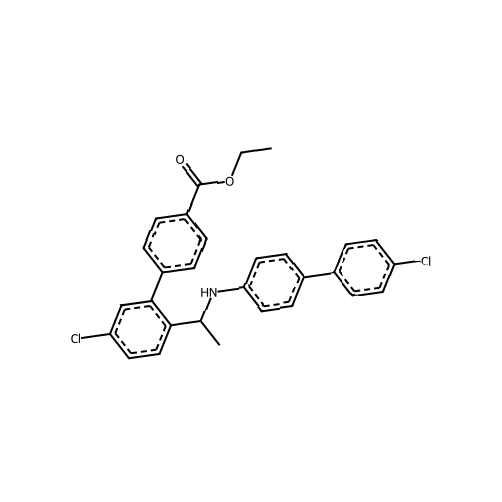 CCOC(=O)c1ccc(-c2cc(Cl)ccc2C(C)Nc2ccc(-c3ccc(Cl)cc3)cc2)cc1